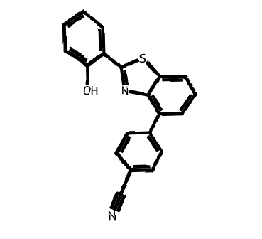 N#Cc1ccc(-c2cccc3sc(-c4ccccc4O)nc23)cc1